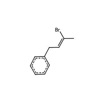 C/C(Br)=C/Cc1ccccc1